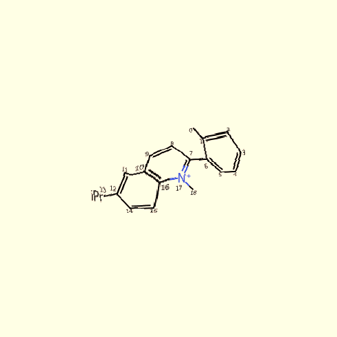 Cc1ccccc1-c1ccc2cc(C(C)C)ccc2[n+]1C